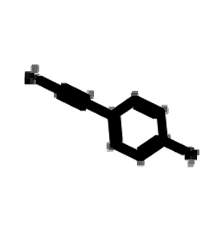 BrC#Cc1ccc(Br)cc1